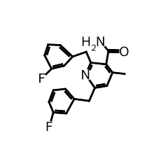 Cc1cc(Cc2cccc(F)c2)nc(Cc2cccc(F)c2)c1C(N)=O